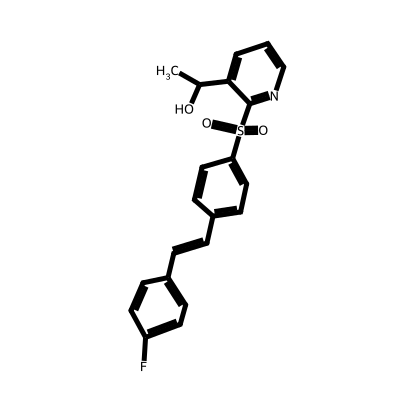 CC(O)c1cccnc1S(=O)(=O)c1ccc(C=Cc2ccc(F)cc2)cc1